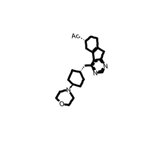 CC(=O)[C@@H]1CCC2=C(C1)c1c(ncnc1C[C@H]1CC[C@H](N3CCOCC3)CC1)C2